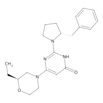 CC[C@H]1CN(c2cc(=O)[nH]c(N3CCC[C@@H]3Cc3ccccc3)n2)CCO1